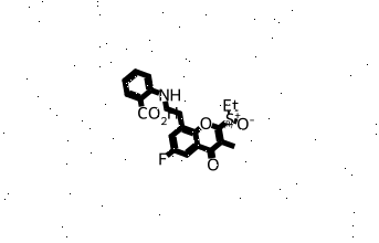 CC[S@+]([O-])c1oc2c(CCNc3ccccc3C(=O)O)cc(F)cc2c(=O)c1C